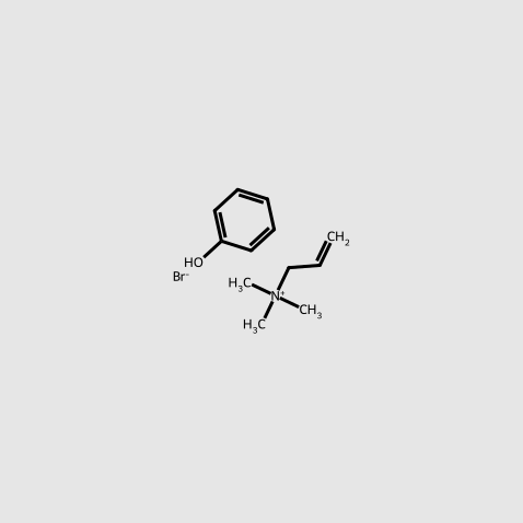 C=CC[N+](C)(C)C.Oc1ccccc1.[Br-]